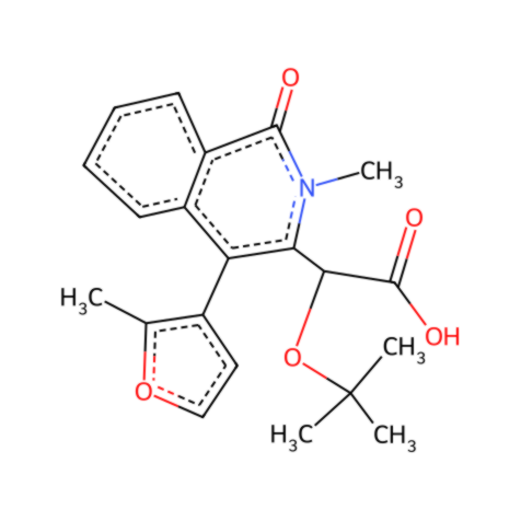 Cc1occc1-c1c(C(OC(C)(C)C)C(=O)O)n(C)c(=O)c2ccccc12